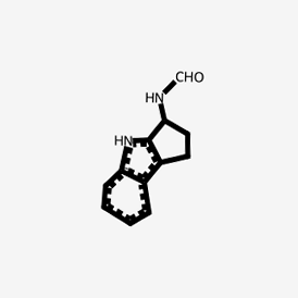 O=CNC1CCc2c1[nH]c1ccccc21